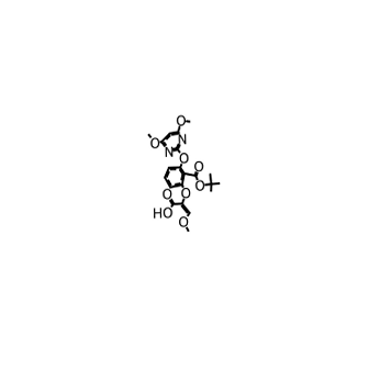 COC=C(Oc1cccc(Oc2nc(OC)cc(OC)n2)c1C(=O)OC(C)(C)C)C(=O)O